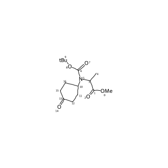 COC(=O)C(C)N(C(=O)OC(C)(C)C)C1CCC(=O)CC1